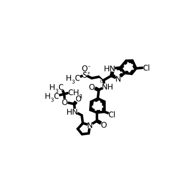 C[S+]([O-])CC[C@H](NC(=O)c1ccc(C(=O)N2CCCC2CNC(=O)OC(C)(C)C)c(Cl)c1)c1nc2cc(Cl)ccc2[nH]1